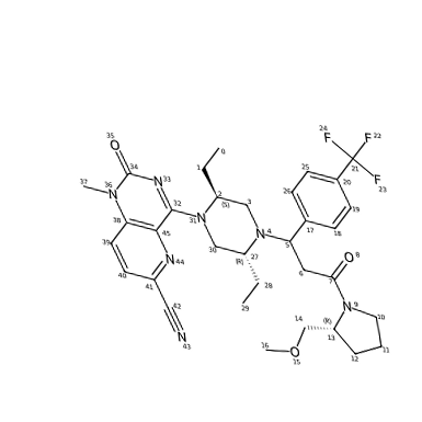 CC[C@H]1CN(C(CC(=O)N2CCC[C@@H]2COC)c2ccc(C(F)(F)F)cc2)[C@H](CC)CN1c1nc(=O)n(C)c2ccc(C#N)nc12